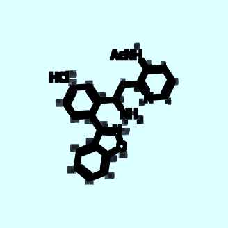 CC(=O)Nc1cccnc1CC(N)c1ccccc1-c1noc2ccccc12.Cl